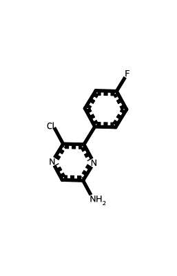 Nc1cnc(Cl)c(-c2ccc(F)cc2)n1